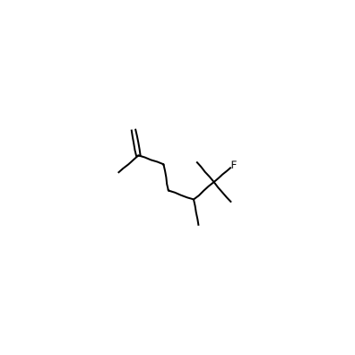 C=C(C)CCC(C)C(C)(C)F